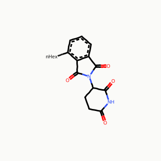 CCCCCCc1cccc2c1C(=O)N(C1CCC(=O)NC1=O)C2=O